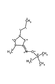 CCCC1OC(C)C(=NO[Si](C)(C)C)S1